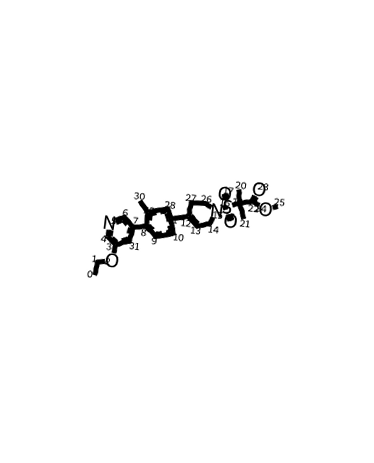 CCOc1cncc(-c2ccc(C3=CCN(S(=O)(=O)C(C)(C)C(=O)OC)CC3)cc2C)c1